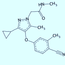 CNC(=O)Cn1nc(C2CC2)c(Oc2ccc(C#N)c(C)c2)c1C